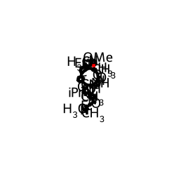 CCn1c(-c2cccnc2[C@H](C)OC)c2c3cc(ccc31)-c1cccc(c1)C[C@H](NC(=O)[C@H](C(C)C)N(C)C(=O)[C@H]1CCN(C(=O)C#CC(F)(F)N(C)C)C1)C(=O)N1CCC[C@H](N1)C(=O)OCC(C)(C)C2